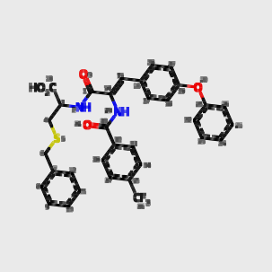 O=C(NC(CSCc1ccccc1)C(=O)O)C(=Cc1ccc(Oc2ccccc2)cc1)NC(=O)c1ccc(C(F)(F)F)cc1